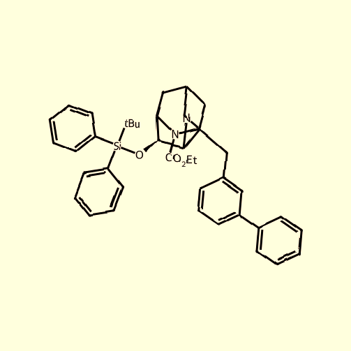 CCOC(=O)N1C2CC3CC1[C@H](O[Si](c1ccccc1)(c1ccccc1)C(C)(C)C)C2N(Cc1cccc(-c2ccccc2)c1)C3